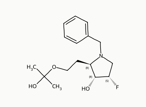 CC(C)(O)OCC[C@@H]1[C@@H](O)[C@@H](F)CN1Cc1ccccc1